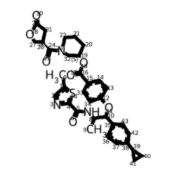 Cc1cnc(C(=O)NC(C)C(Oc2ccc(C(=O)O[C@H]3CCCN(C(=O)[C@H]4COC(=O)C4)C3)cc2)c2ccc(C3CC3)cc2)s1